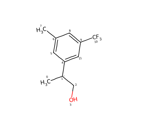 C[C](CO)c1cc(C)cc(C(F)(F)F)c1